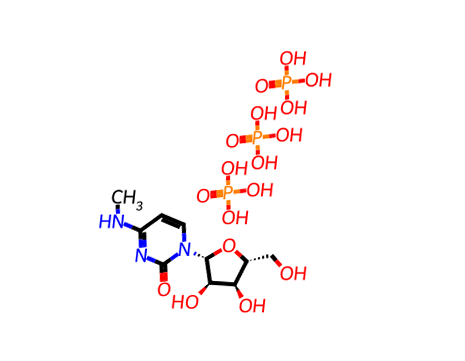 CNc1ccn([C@@H]2O[C@H](CO)[C@@H](O)[C@H]2O)c(=O)n1.O=P(O)(O)O.O=P(O)(O)O.O=P(O)(O)O